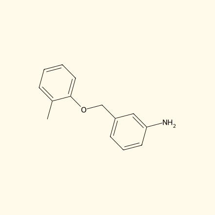 Cc1ccccc1OCc1cccc(N)c1